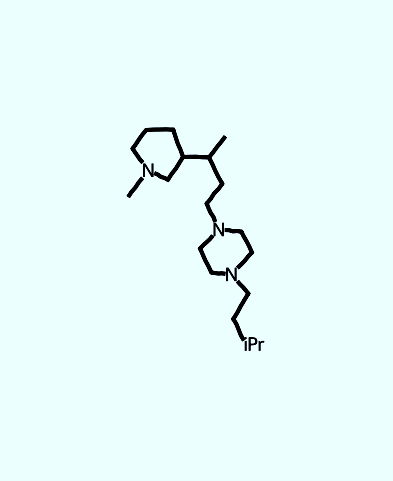 CC(C)CCN1CCN(CCC(C)C2CCCN(C)C2)CC1